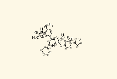 COc1ncc(-c2nc(N3CCOCC3)nc3c(CN4CCC(N5CCCC5)C(F)(F)C4)c(C)sc23)cc1NS(C)(=O)=O